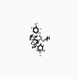 CCC(OS(=O)(=O)c1cccc(C)c1)N(CCCC#N)S(=O)(=O)c1ccc(C)cc1